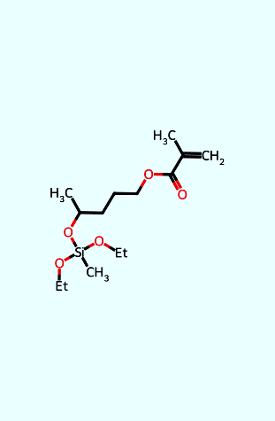 C=C(C)C(=O)OCCCC(C)O[Si](C)(OCC)OCC